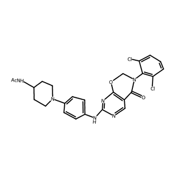 CC(=O)NC1CCN(c2ccc(Nc3ncc4c(n3)OCN(c3c(Cl)cccc3Cl)C4=O)cc2)CC1